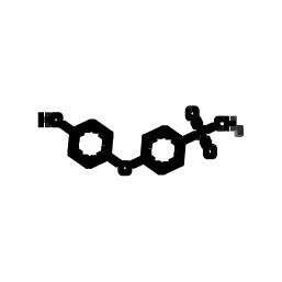 CS(=O)(=O)c1ccc(Oc2ccc(O)cc2)cc1